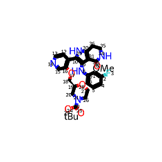 COc1c(F)cccc1Nc1c(-c2ccncc2OC[C@@H]2CN(C(=O)OC(C)(C)C)CCO2)[nH]c2c1C(=O)NCC2